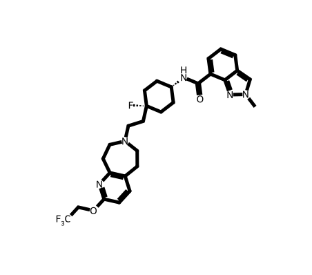 Cn1cc2cccc(C(=O)N[C@H]3CC[C@](F)(CCN4CCc5ccc(OCC(F)(F)F)nc5CC4)CC3)c2n1